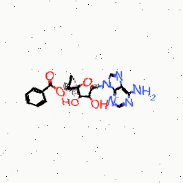 Nc1ncnc2c1ncn2[C@@H]1O[C@@]2(C[C@H]2OC(=O)c2ccccc2)C(O)C1O